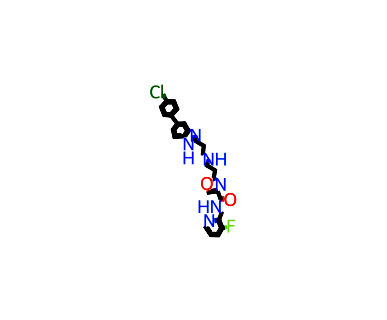 O=C(NCc1ncccc1F)c1coc(CCNCCc2nc3cc(-c4ccc(Cl)cc4)ccc3[nH]2)n1